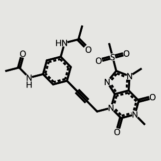 CC(=O)Nc1cc(C#CCn2c(=O)n(C)c(=O)c3c2nc(S(C)(=O)=O)n3C)cc(NC(C)=O)c1